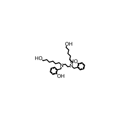 OCCCCCCN(CCN(CCCCCCO)Cc1ccccc1O)Cc1ccccc1O